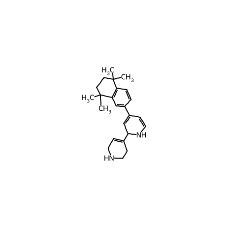 CC1(C)CCC(C)(C)c2cc(C3=CC(C4=CCNCC4)NC=C3)ccc21